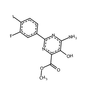 COC(=O)c1nc(-c2ccc(I)c(F)c2)nc(N)c1O